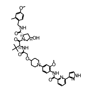 COc1ccc(CNC(=O)[C@@H]2C[C@@H](O)CN2C(=O)[C@@H](NC(=O)COC2CCN(c3ccc(NC(=O)c4cccc(-c5cc[nH]n5)n4)c(OC)c3)CC2)C(C)(C)C)c(C)c1